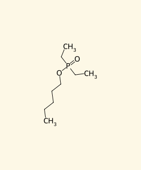 CCCCCOP(=O)(CC)CC